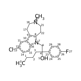 CCCCC(O)(Cn1c2c(c3cc(Cl)ccc31)CCN(C)CC2)c1ccc(F)cc1